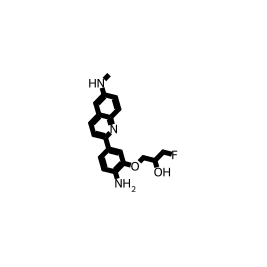 CNc1ccc2nc(-c3ccc(N)c(OCC(O)CF)c3)ccc2c1